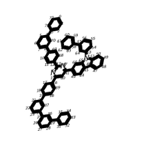 c1ccc(-c2cccc(-c3ccc(-c4nc(-c5ccc(-c6cccc(-c7cccc(-c8ccccc8)c7)c6)cc5)cc(-c5ccc6c7ccccc7n(-c7cccc(-c8ccccc8)c7)c6c5)n4)cc3)c2)cc1